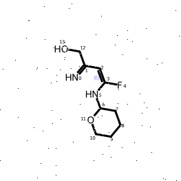 N=C(/C=C(/F)NC1CCCCO1)CO